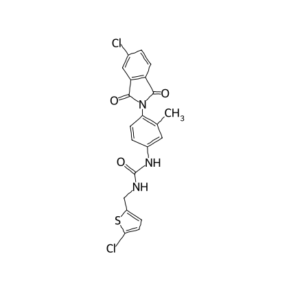 Cc1cc(NC(=O)NCc2ccc(Cl)s2)ccc1N1C(=O)c2ccc(Cl)cc2C1=O